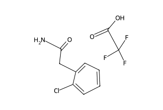 NC(=O)Cc1ccccc1Cl.O=C(O)C(F)(F)F